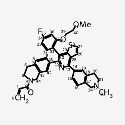 C=CC(=O)N1CCc2ccc(-c3nc(-c4ccc5c(c4)CCN(C)C5)c4ccsc4c3-c3ccc(F)cc3OCCOC)cc2C1